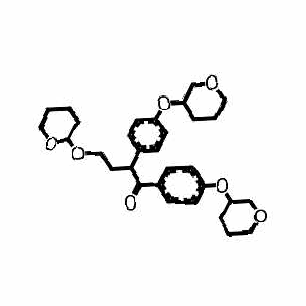 O=C(c1ccc(OC2CCCOC2)cc1)C(CCOC1CCCCO1)c1ccc(OC2CCCOC2)cc1